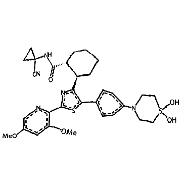 COc1cnc(-c2nc([C@@H]3CCCC[C@H]3C(=O)NC3(C#N)CC3)c(-c3ccc(N4CCS(O)(O)CC4)cc3)s2)c(OC)c1